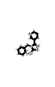 Sc1nnc(-c2cccnc2)n1Cc1ccccc1